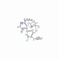 COc1cc(-c2cc(F)c(CC(C)(C)C)cc2[C@@H]2CCCC2(C)C)c(F)cn1